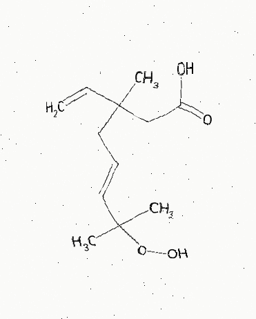 C=CC(C)(CC=CC(C)(C)OO)CC(=O)O